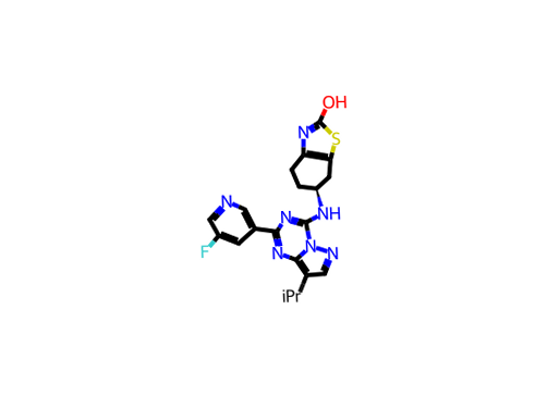 CC(C)c1cnn2c(N[C@H]3CCc4nc(O)sc4C3)nc(-c3cncc(F)c3)nc12